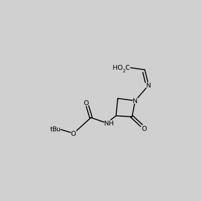 CC(C)(C)OC(=O)NC1CN(/N=C\C(=O)O)C1=O